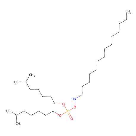 CCCCCCCCCCCCCCNOP(=O)(OCCCCCC(C)C)OCCCCCC(C)C